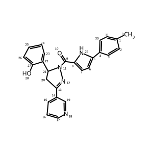 Cc1ccc(-c2ccc(C(=O)N3N=C(c4cccnc4)CC3c3ccccc3O)[nH]2)cc1